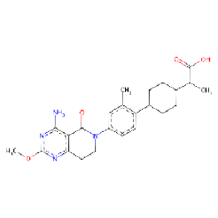 COc1nc(N)c2c(n1)CCN(c1ccc(C3CCC(C(C)C(=O)O)CC3)c(C)c1)C2=O